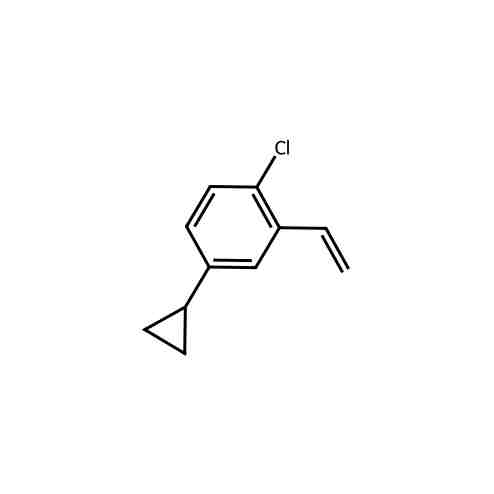 C=Cc1cc(C2CC2)ccc1Cl